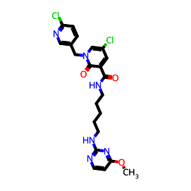 COc1ccnc(NCCCCCNC(=O)c2cc(Cl)cn(Cc3ccc(Cl)nc3)c2=O)n1